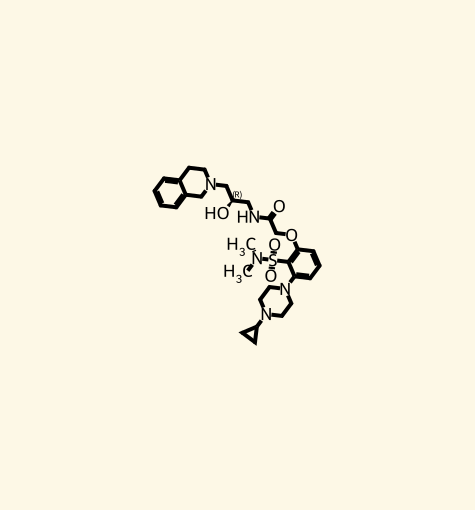 CN(C)S(=O)(=O)c1c(OCC(=O)NC[C@@H](O)CN2CCc3ccccc3C2)cccc1N1CCN(C2CC2)CC1